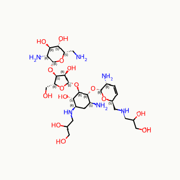 NC[C@@H]1O[C@H](O[C@H]2[C@@H](O)[C@H](O[C@@H]3[C@@H](O)[C@H](NCC(O)CO)C[C@H](N)[C@H]3O[C@H]3O[C@H](CNCC(O)CO)C=C[C@H]3N)O[C@@H]2CO)[C@H](N)[C@@H](O)[C@@H]1O